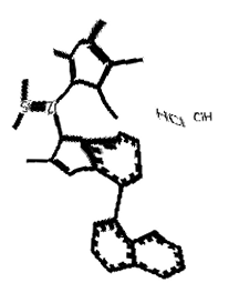 CC1=Cc2c(-c3cccc4ccccc34)cccc2[CH]1[Zr]([C]1=C(C)C(C)=C(C)C1C)=[Si](C)C.Cl.Cl